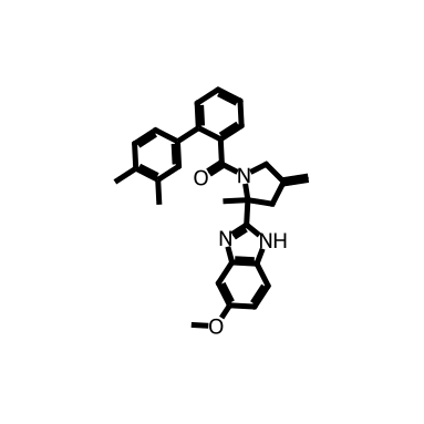 C=C1CN(C(=O)c2ccccc2-c2ccc(C)c(C)c2)C(C)(c2nc3cc(OC)ccc3[nH]2)C1